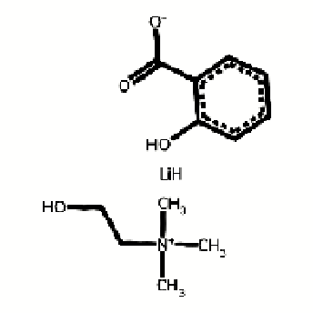 C[N+](C)(C)CCO.O=C([O-])c1ccccc1O.[LiH]